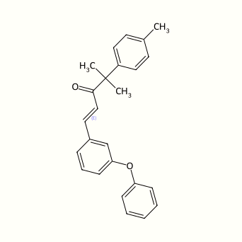 Cc1ccc(C(C)(C)C(=O)/C=C/c2cccc(Oc3ccccc3)c2)cc1